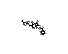 NC(C(=O)NC1C(=O)N2C(C(=O)O)=C(CSc3nnc(CO)o3)CS[C@H]12)c1ccccc1